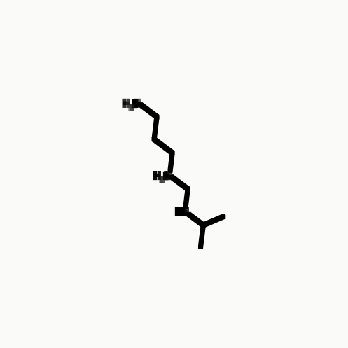 CC(C)NC[SiH2]CCC[SiH3]